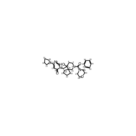 O=C(N1CC[C@@](O)(Cn2cnc(N3CCCC3)cc2=O)C2(CCCC2)C1)N1CCOC[C@H]1c1ccccc1